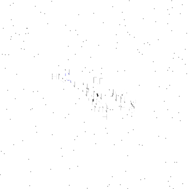 CC/N=C1/NC=C/C1=C(/C)N(C)C1CCn2cc(C(=O)N(C3CC(F)(F)C3)N(c3ncnc4[nH]ccc34)C3CCn4cc(C(=O)NCCS(C)(=O)=O)nc4C3)nc2C1